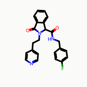 O=C(NCc1ccc(F)cc1)C1c2ccccc2C(=O)N1CCc1ccncc1